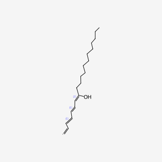 [CH]=C/C=C/C=C/C=C(\O)CCCCCCCCCCCC